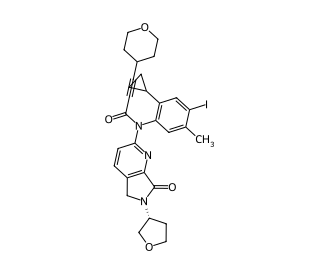 Cc1cc(N(C(=O)C#CC2CCOCC2)c2ccc3c(n2)C(=O)N([C@@H]2CCOC2)C3)c(C2CC2)cc1I